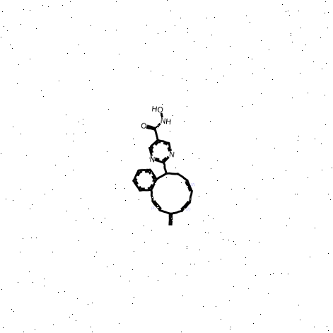 C=C1/C=C\C=C/CC(c2ncc(C(=O)NO)cn2)c2ccccc2/C=C\1